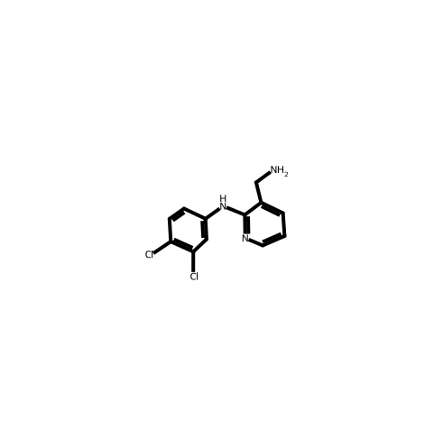 NCc1cccnc1Nc1ccc(Cl)c(Cl)c1